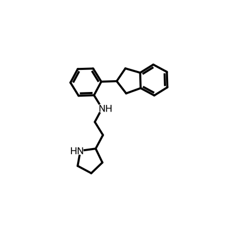 c1ccc2c(c1)CC(c1ccccc1NCCC1CCCN1)C2